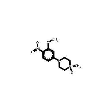 COc1cc(P2CC[N+](C)([O-])CC2)ccc1[N+](=O)[O-]